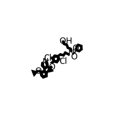 O=C([C@@H]1CCCCO1)N(CCCCO)CCCCc1cc(Cl)c(COC2(c3cnccc3-c3ccccc3OC3CC3)CC2)cc1Cl